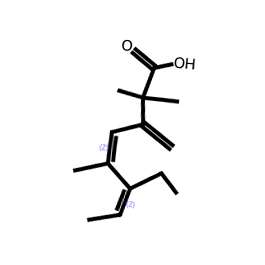 C=C(/C=C(C)\C(=C/C)CC)C(C)(C)C(=O)O